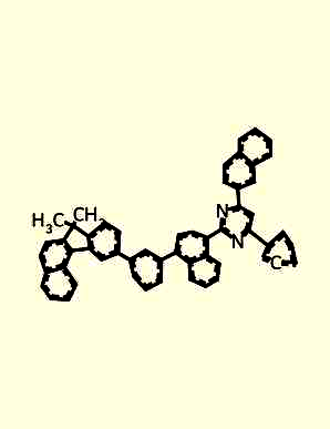 CC1(C)c2ccc(-c3cccc(-c4ccc(-c5nc(-c6ccccc6)cc(-c6ccc7ccccc7c6)n5)c5ccccc45)c3)cc2-c2c1ccc1ccccc21